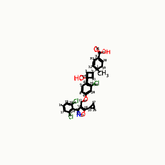 CC1([C@H]2C[C@@](O)(c3ccc(OCc4c(-c5c(Cl)cccc5Cl)noc4C4CC4)cc3Cl)C2)C=CC(C(=O)O)=CC1